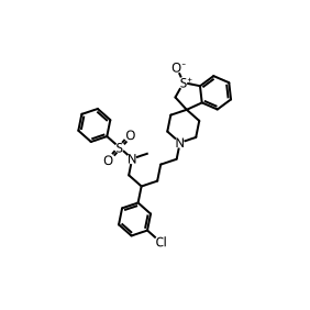 CN(CC(CCCN1CCC2(CC1)C[S+]([O-])c1ccccc12)c1cccc(Cl)c1)S(=O)(=O)c1ccccc1